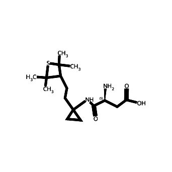 CC1(C)SC(C)(C)C1CCC1(NC(=O)[C@@H](N)CC(=O)O)CC1